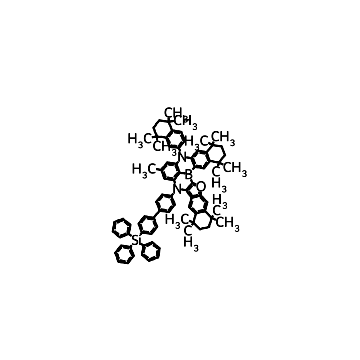 Cc1cc2c3c(c1)N(c1ccc(-c4ccc([Si](c5ccccc5)(c5ccccc5)c5ccccc5)cc4)cc1)c1c(oc4cc5c(cc14)C(C)(C)CCC5(C)C)B3c1cc3c(cc1N2c1ccc2c(c1)C(C)(C)CCC2(C)C)C(C)(C)CCC3(C)C